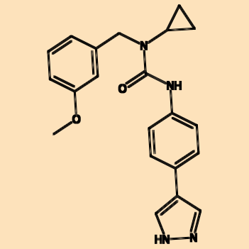 COc1cccc(CN(C(=O)Nc2ccc(-c3cn[nH]c3)cc2)C2CC2)c1